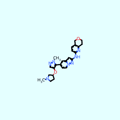 CN1CC[C@H](Oc2cnn(C)c2-c2ccn3nc(Nc4ccc5c(n4)CCOC5)cc3c2)C1